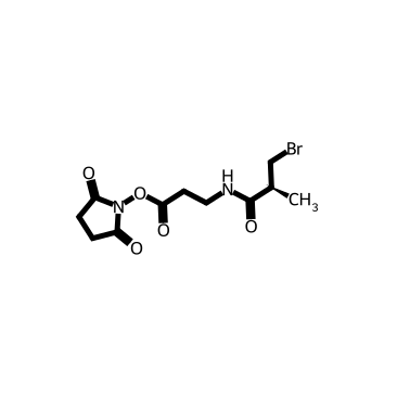 C[C@H](CBr)C(=O)NCCC(=O)ON1C(=O)CCC1=O